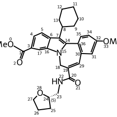 COC(=O)c1ccc2c(C3CCCCC3)c3n(c2c1)CC(C(=O)NC[C@@H]1CCCO1)=Cc1cc(OC)ccc1-3